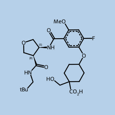 COc1cc(F)c(OC2CCC(CO)(C(=O)O)CC2)cc1C(=O)N[C@@H]1COC[C@@H]1C(=O)NCC(C)(C)C